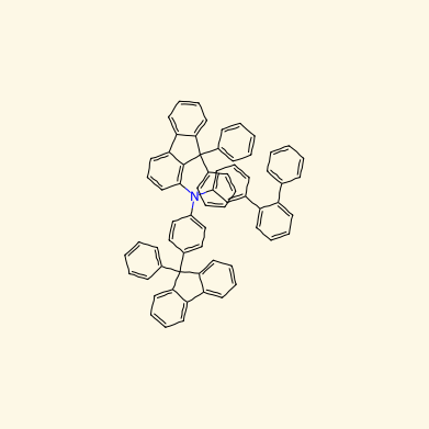 c1ccc(-c2ccccc2-c2cccc(N(c3ccc(C4(c5ccccc5)c5ccccc5-c5ccccc54)cc3)c3cccc4c3C(c3ccccc3)(c3ccccc3)c3ccccc3-4)c2)cc1